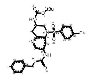 CC(C)(C)OC(=O)NC1Cc2ncc(NC(=O)OCc3ccccc3)cc2N(S(=O)(=O)c2ccc(F)cc2)C1